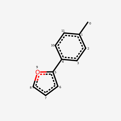 Cc1ccc(-c2cc[c]o2)cc1